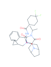 CC(C)N1C(=O)N(CC2CC2)C2(CC3CCC(C2)N3CC[C@H](NC(=O)C2CCC(F)(F)CC2)c2ccccc2)C1=O